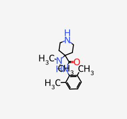 Cc1cccc(C)c1NC(=O)C1(N(C)C)CCNCC1